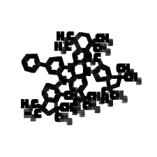 Cc1cc2c(cc1N1c3cc4c(cc3B3c5ccc(-c6ccccc6)cc5N(c5ccc6c(c5C)C(C)(C)CC6(C)C)c5cc(C(C)(C)C)cc1c53)C(C)(C)CCC4(C)C)C(C)(C)CC2(C)C